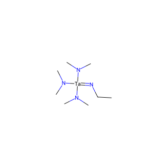 CC[N]=[Ta]([N](C)C)([N](C)C)[N](C)C